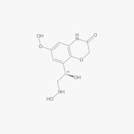 O=C1COc2c(cc(OO)cc2[C@@H](O)CNO)N1